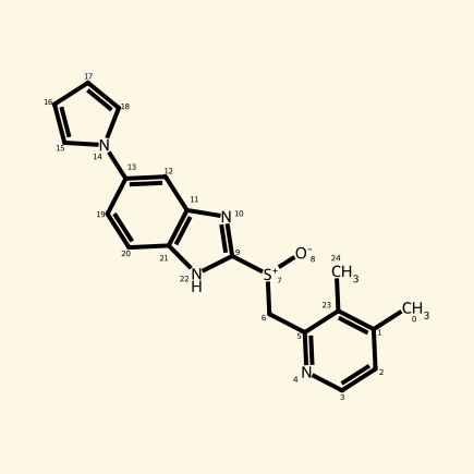 Cc1ccnc(C[S+]([O-])c2nc3cc(-n4cccc4)ccc3[nH]2)c1C